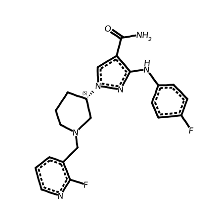 NC(=O)c1cn([C@H]2CCCN(Cc3cccnc3F)C2)nc1Nc1ccc(F)cc1